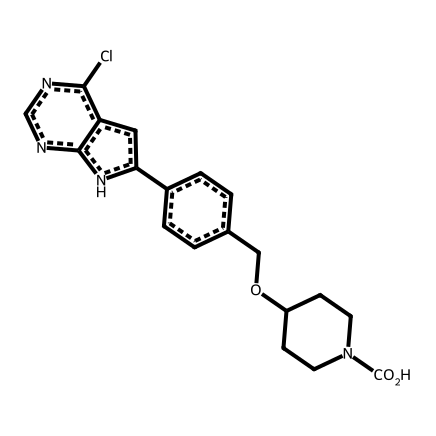 O=C(O)N1CCC(OCc2ccc(-c3cc4c(Cl)ncnc4[nH]3)cc2)CC1